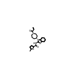 C=CC(=O)N1CCC[C@@H](n2c(NC(=O)c3ccc(C)s3)nc3ccccc32)CC1